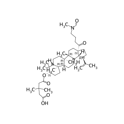 C=C(C)[C@@H]1CC[C@]2(C(=O)CCCN(C)C=O)CC[C@]3(C)[C@H](CC[C@@H]4[C@@]5(C)CC[C@H](OC(=O)CC(C)(C)CC(=O)O)C(C)(C)[C@@H]5CC[C@]43C)[C@@H]12